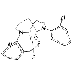 O=C1N(c2ccccc2Cl)CCC12CCCN(c1ncccc1C(F)(F)F)C2